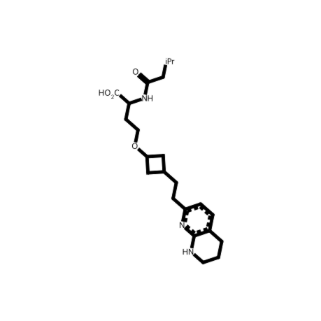 CC(C)CC(=O)NC(CCOC1CC(CCc2ccc3c(n2)NCCC3)C1)C(=O)O